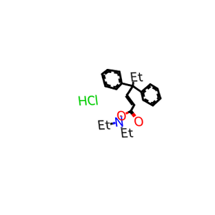 CCN(CC)OC(=O)C=CC(CC)(c1ccccc1)c1ccccc1.Cl